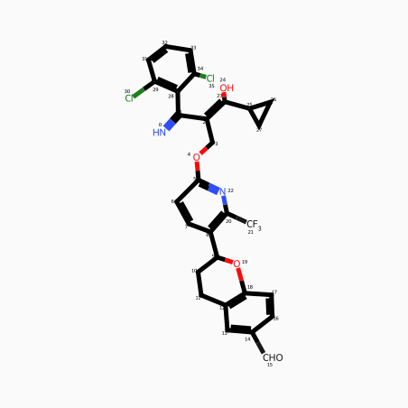 N=C(/C(COc1ccc(C2CCc3cc(C=O)ccc3O2)c(C(F)(F)F)n1)=C(\O)C1CC1)c1c(Cl)cccc1Cl